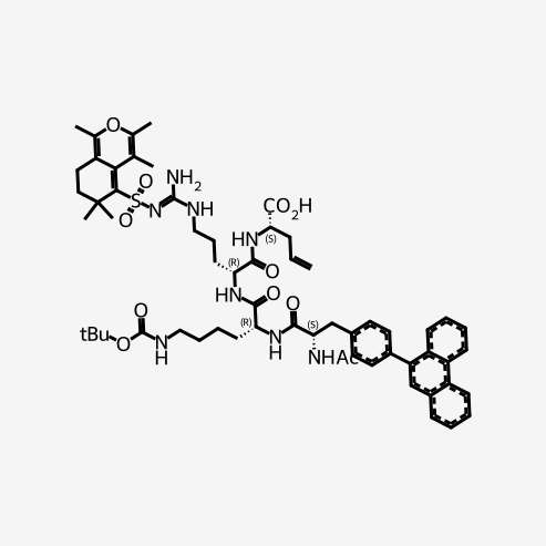 C=CC[C@H](NC(=O)[C@@H](CCCNC(N)=NS(=O)(=O)C1=C2C(C)=C(C)OC(C)=C2CCC1(C)C)NC(=O)[C@@H](CCCCNC(=O)OC(C)(C)C)NC(=O)[C@H](Cc1ccc(-c2cc3ccccc3c3ccccc23)cc1)NC(C)=O)C(=O)O